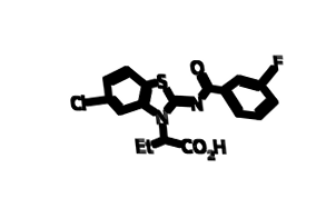 CCC(C(=O)O)n1/c(=N/C(=O)c2cccc(F)c2)sc2ccc(Cl)cc21